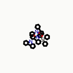 c1ccc(-n2c3ccccc3c3cccc(-n4c5cccc(-n6c7ccccc7c7ccccc76)c5c5cccc([Si](c6ccccc6)(c6ccccc6)c6ccccc6)c54)c32)cc1